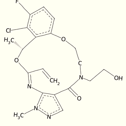 C=C/C1=N\c2c(cnn2C)C(=O)N(CCO)CCOc2ccc(F)c(Cl)c2[C@@H](C)O1